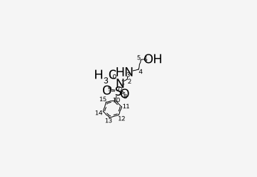 CN(CNCCO)S(=O)(=O)c1ccccc1